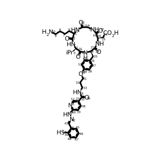 CC(C)[C@H]1NC(=O)C(CCCCN)NC(=O)CNC(=O)[C@@H](CC(=O)O)NC(=O)[C@@H](Cc2ccc(OCCCNC(=O)c3ccc(NN=Cc4ccccc4S)nc3)cc2)NC1=O